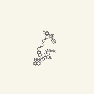 CN[C@@H](C)C(=O)NC(C(=O)N1Cc2cc(OCCOCCOCCOc3c(-c4csc(N5CCOCC5)n4)ccc(F)c3F)ccc2C[C@H]1C(=O)N[C@@H]1CCCc2ccccc21)C(C)(C)C